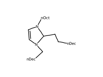 CCCCCCCCCCCCC1N(CCCCCCCC)C=CN1CCCCCCCCCCC